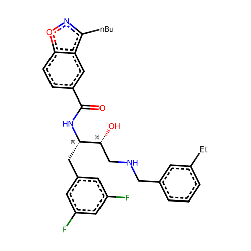 CCCCc1noc2ccc(C(=O)N[C@@H](Cc3cc(F)cc(F)c3)[C@H](O)CNCc3cccc(CC)c3)cc12